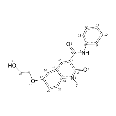 Cn1c(=O)c(C(=O)Nc2ccccc2)cc2cc(OCCO)ccc21